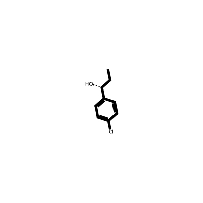 CC[C@@H](O)c1ccc(Cl)cc1